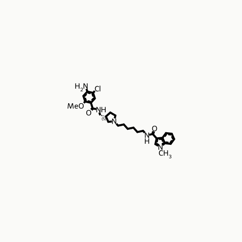 COc1cc(N)c(Cl)cc1C(=O)NC[C@@H]1CCN(CCCCCCNC(=O)c2cn(C)c3ccccc23)C1